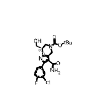 CC(C)(C)OC(=O)N1Cc2c(C(N)=O)c(-c3ccc(F)c(Cl)c3)nn2[C@@H](CO)C1